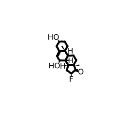 C[C@]12CC[C@@H](O)CC1=C[C@H](O)[C@@H]1[C@@H]2CC[C@]2(C)C(=O)[C@H](F)C[C@@H]12